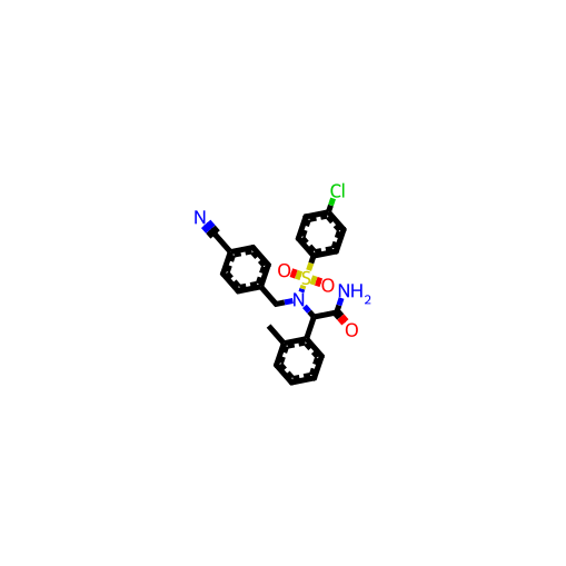 Cc1ccccc1C(C(N)=O)N(Cc1ccc(C#N)cc1)S(=O)(=O)c1ccc(Cl)cc1